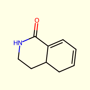 O=C1NCCC2CC=CC=C12